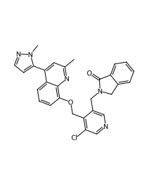 Cc1cc(-c2ccnn2C)c2cccc(OCc3c(Cl)cncc3CN3Cc4ccccc4C3=O)c2n1